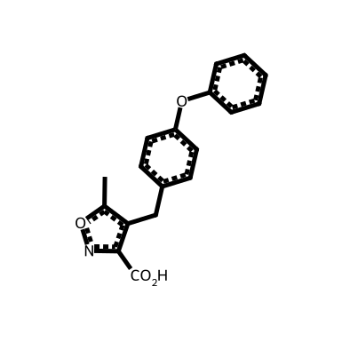 Cc1onc(C(=O)O)c1Cc1ccc(Oc2ccccc2)cc1